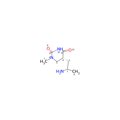 CC(N)C[C@@H]1CN(C)C(=O)NC1=O